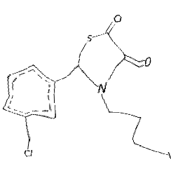 O=C1SC(c2cccc(Cl)c2)N(CCCI)C1=O